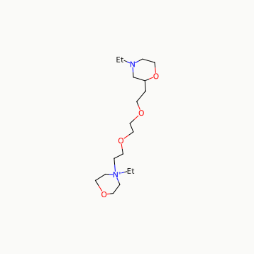 CCN1CCOC(CCOCCOCC[N+]2(CC)CCOCC2)C1